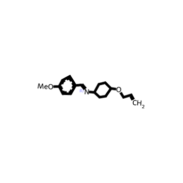 C=CCOC1CCC(/N=C/c2ccc(OC)cc2)CC1